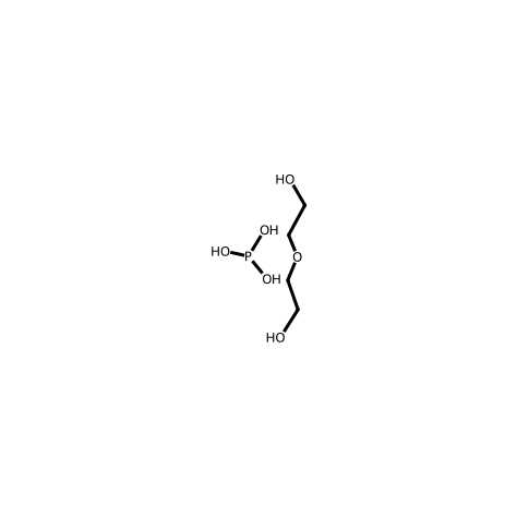 OCCOCCO.OP(O)O